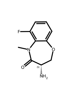 CN1C(=O)[C@@H](N)COc2cccc(F)c21